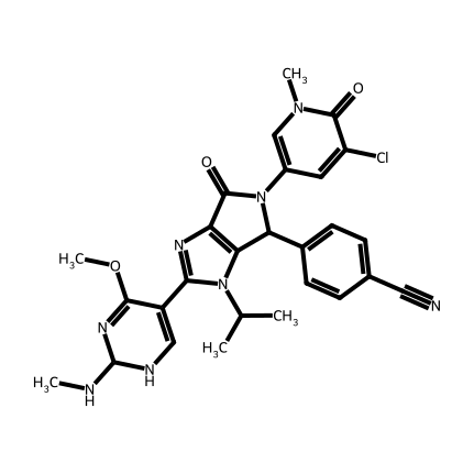 CNC1N=C(OC)C(c2nc3c(n2C(C)C)C(c2ccc(C#N)cc2)N(c2cc(Cl)c(=O)n(C)c2)C3=O)=CN1